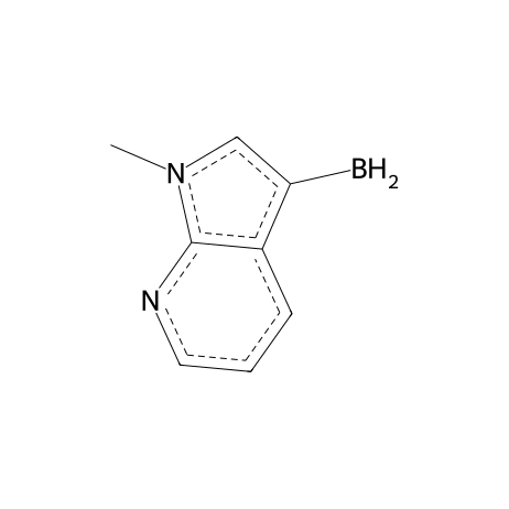 Bc1cn(C)c2ncccc12